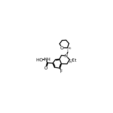 CC[C@@H]1Cc2c(F)cc(C(=O)NO)cc2CN1C[C@H]1CCCCO1